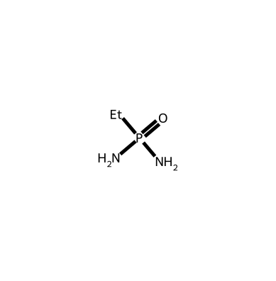 CCP(N)(N)=O